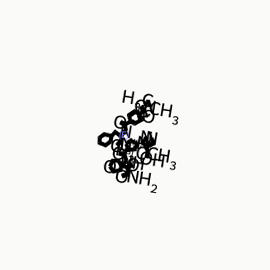 CN(C)S(=O)(=O)c1ccc(C(=O)/N=C(\CC2CCCCC2)C(=O)N2C[C@@H](n3nncc3C(C)(C)O)C[C@H]2C(=O)NC2(C(=O)C(N)=O)CCOCC2)cc1